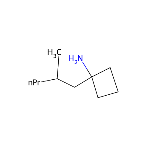 CCCC(C)CC1(N)CCC1